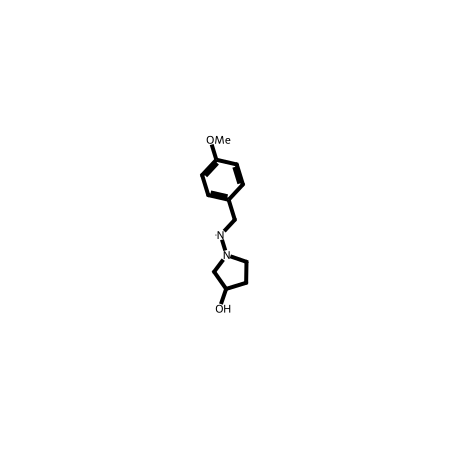 COc1ccc(C[N]N2CCC(O)C2)cc1